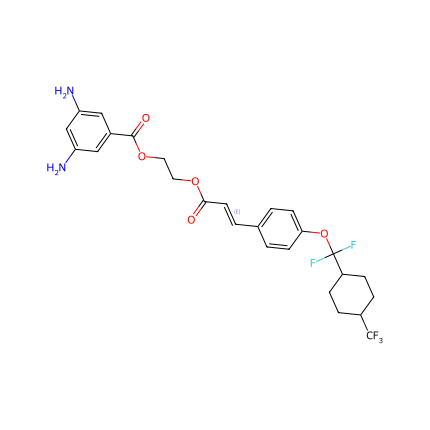 Nc1cc(N)cc(C(=O)OCCOC(=O)/C=C/c2ccc(OC(F)(F)C3CCC(C(F)(F)F)CC3)cc2)c1